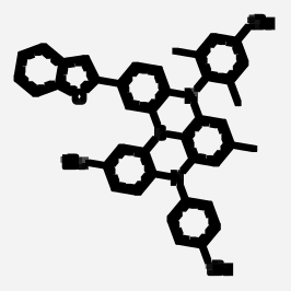 Cc1cc2c3c(c1)N(c1c(C)cc(C(C)(C)C)cc1C)c1ccc(-c4cc5ccccc5o4)cc1B3c1cc(C(C)(C)C)ccc1N2c1ccc(C(C)(C)C)cc1